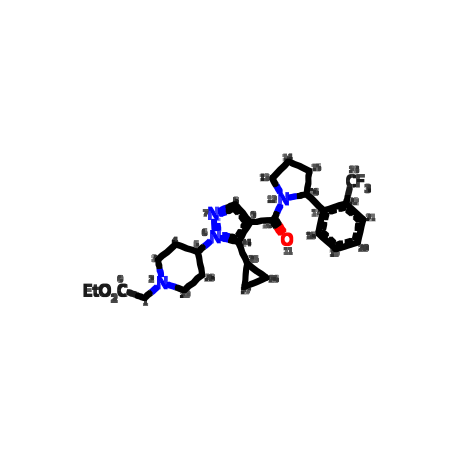 CCOC(=O)CN1CCC(n2ncc(C(=O)N3CCCC3c3ccccc3C(F)(F)F)c2C2CC2)CC1